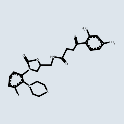 Cc1ccc(C(=O)CCC(=O)NCC2CN(c3cccc(F)c3N3CCSCC3)C(=O)O2)c(C)c1